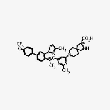 Cc1ccn(-c2cc(-c3ccc(OC(F)(F)F)cc3)ccc2[C@@H](Oc2cc(N3CCC4(CC3)CN[C@H](C(=O)O)C4)nc(C)n2)C(F)(F)F)n1